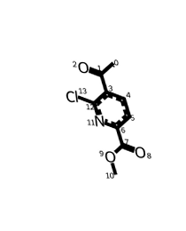 [CH2]C(=O)c1ccc(C(=O)OC)nc1Cl